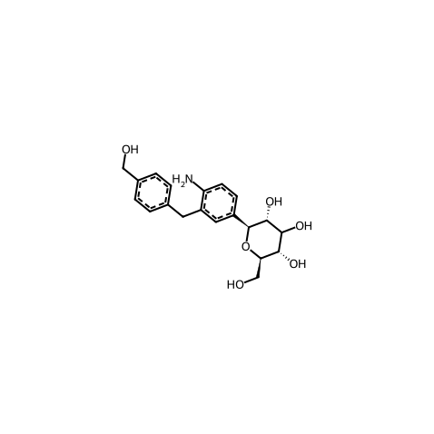 Nc1ccc([C@@H]2O[C@H](CO)[C@@H](O)C(O)[C@H]2O)cc1Cc1ccc(CO)cc1